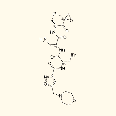 CC(C)C[C@H](NC(=O)c1cc(CN2CCOCC2)on1)C(=O)N[C@@H](CP)C(=O)N[C@@H](CC(C)C)C(=O)[C@@]1(C)CO1